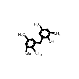 Cc1cc(C)c(O)c(Cc2cc(C)cc(C(C)(C)C)c2C)c1